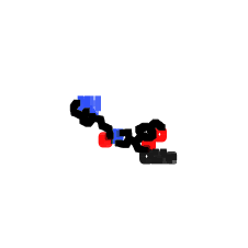 COC(=O)CC(c1ccc2c(c1)OCC2)C1CCN(C(=O)CCCc2ccc3c(n2)NCCC3)CC1